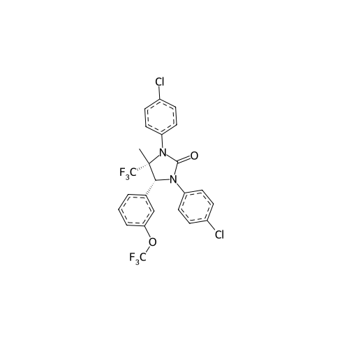 C[C@]1(C(F)(F)F)[C@@H](c2cccc(OC(F)(F)F)c2)N(c2ccc(Cl)cc2)C(=O)N1c1ccc(Cl)cc1